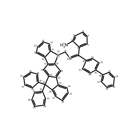 Nc1ccccc1/C(=N\Cn1c2ccccc2c2cc3c(cc21)-c1ccccc1C3(c1ccccc1)c1ccccc1)c1ccc(-c2ccccc2)cc1